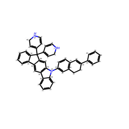 C1=CC(C2(C3=CCNC=C3)c3ccccc3-c3cc4c5ccccc5n(-c5ccc6c(c5)CCC(c5ccccc5)=C6)c4cc32)=CCN1